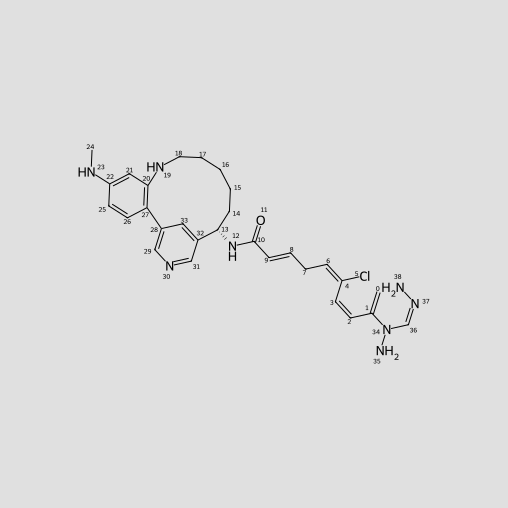 C=C(/C=C\C(Cl)=C/C/C=C/C(=O)N[C@H]1CCCCCNc2cc(NC)ccc2-c2cncc1c2)N(N)/C=N\N